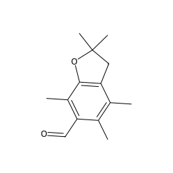 Cc1c(C)c2c(c(C)c1C=O)OC(C)(C)C2